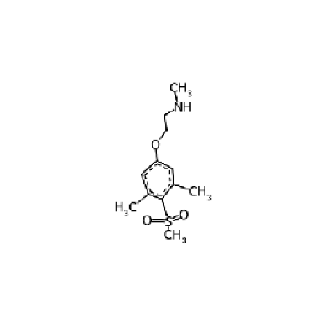 CNCCOc1cc(C)c(S(C)(=O)=O)c(C)c1